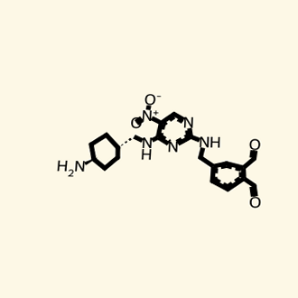 N[C@H]1CC[C@H](CNc2nc(NCc3ccc(C=O)c(C=O)c3)ncc2[N+](=O)[O-])CC1